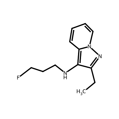 CCc1nn2ccccc2c1NCCCF